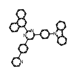 c1ccc(-c2ccc(-c3cc(-c4ccc(-n5c6ccccc6c6ccccc65)cc4)nc(-c4cc5ccccc5c5ccccc45)n3)cc2)nc1